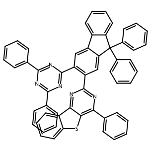 c1ccc(-c2nc(-c3ccccc3)nc(-c3cc4c(cc3-c3nc(-c5ccccc5)c5sc6ccccc6c5n3)C(c3ccccc3)(c3ccccc3)c3ccccc3-4)n2)cc1